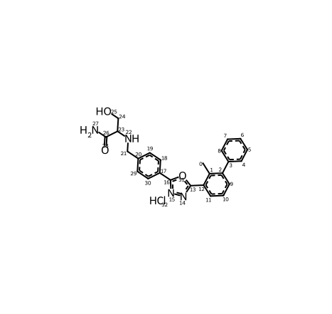 Cc1c(-c2ccccc2)cccc1-c1nnc(-c2ccc(CNC(CO)C(N)=O)cc2)o1.Cl